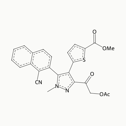 COC(=O)c1ccc(-c2c(C(=O)COC(C)=O)nn(C)c2-c2ccc3ccccc3c2C#N)s1